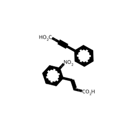 O=C(O)C#Cc1ccccc1.O=C(O)C=Cc1ccccc1[N+](=O)[O-]